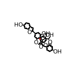 CC1Oc2cc(O)ccc2CC23OC2(c2ccc(O)cc2O)Oc2cc(-c4cc5ccc(O)cc5o4)cc(O)c2C3C1=O